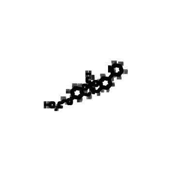 CS(=O)(=O)N(Cc1ccc(-c2ccccn2)cc1)Cc1cccc(OCC(=O)O)c1